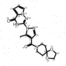 Cc1c(C(=O)N2CCC3(CC2)OCCO3)cnn1-c1nn2cccc2c(=O)[nH]1